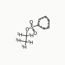 [2H]C([2H])([2H])C([2H])([2H])OS(=O)(=O)c1ccccc1